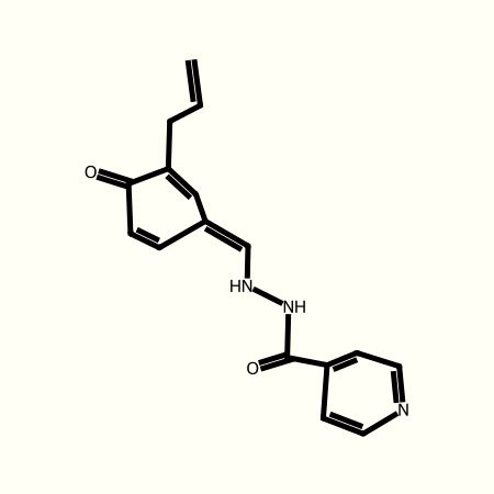 C=CCC1=CC(=CNNC(=O)c2ccncc2)C=CC1=O